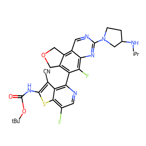 CC(C)NC1CCN(c2ncc3c4c(c(-c5ncc(F)c6sc(NC(=O)OC(C)(C)C)c(C#N)c56)c(F)c3n2)COC4)C1